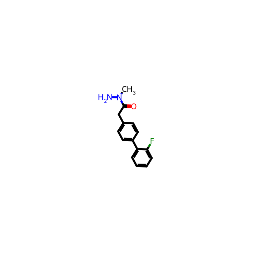 CN(N)C(=O)Cc1ccc(-c2ccccc2F)cc1